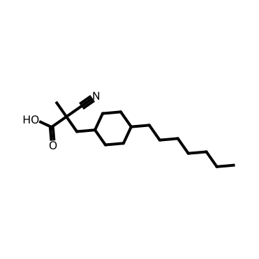 CCCCCCCC1CCC(CC(C)(C#N)C(=O)O)CC1